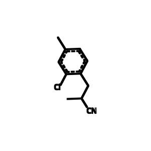 Cc1ccc(CC(C)C#N)c(Cl)c1